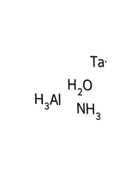 N.O.[AlH3].[Ta]